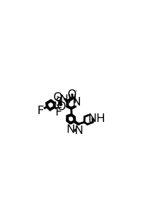 COc1ncc(-c2ccc3ncnc(C4CCNCC4)c3c2)cc1NS(=O)(=O)c1ccc(F)cc1F